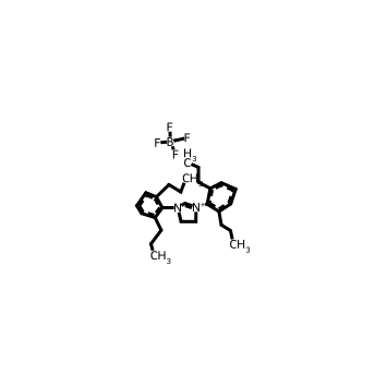 CCCc1cccc(CCC)c1N1C=[N+](c2c(CCC)cccc2CCC)CC1.F[B-](F)(F)F